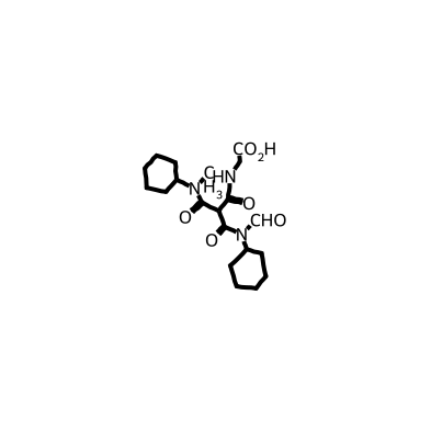 CN(C(=O)C(C(=O)NCC(=O)O)C(=O)N(C=O)C1CCCCC1)C1CCCCC1